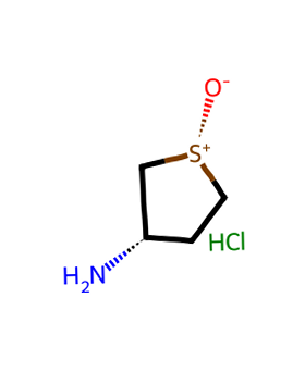 Cl.N[C@H]1CC[S@@+]([O-])C1